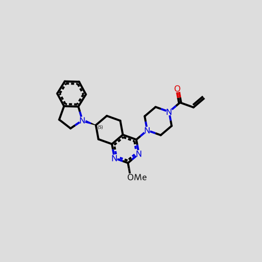 C=CC(=O)N1CCN(c2nc(OC)nc3c2CC[C@H](N2CCc4ccccc42)C3)CC1